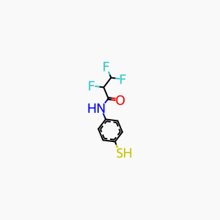 O=C(Nc1ccc(S)cc1)C(F)C(F)F